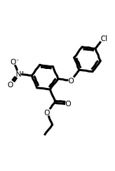 CCOC(=O)c1cc([N+](=O)[O-])ccc1Oc1ccc(Cl)cc1